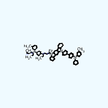 C=C/C(=C\C=C(/CC)n1c2ccccc2c2cc3c(cc21)c1c(n3-c2ccc(-c3ccc(N(c4ccccc4)c4cccc(C)c4)cc3)cc2)CCC=C1)C1=CCC(N(/C(C=C)=C/C=C\C)C2C=CC=C(C)C2)C=C1